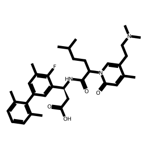 Cc1cc(=O)n(C(CCC(C)C)C(=O)N[C@@H](CC(=O)O)c2cc(-c3c(C)cccc3C)cc(C)c2F)cc1CCN(C)C